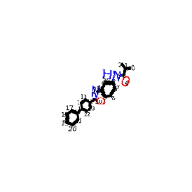 CC(C)C(=O)Nc1ccc2oc(-c3ccc(-c4ccccc4)cc3)nc2c1